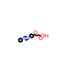 O=C(O)CCC(=O)c1ccc(N2CCN(c3ccccc3)CC2)cc1